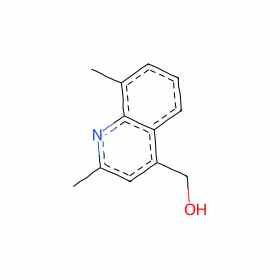 Cc1cc(CO)c2cccc(C)c2n1